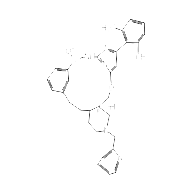 Cc1cccc(C)c1-c1cc2nc(n1)N[S+]([O-])c1cccc(c1)CCC1CCN(Cc3ccccn3)C[C@@H]1CO2